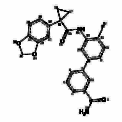 NC(=O)c1cccc(-c2ccc(F)c(NC(=O)C3(c4ccc5c(c4)OCO5)CC3)c2)c1